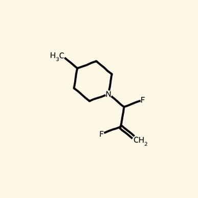 C=C(F)C(F)N1CCC(C)CC1